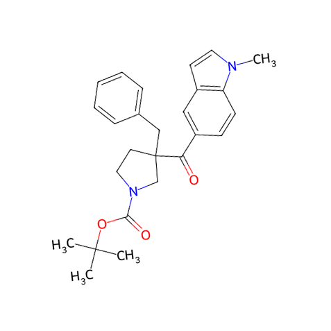 Cn1ccc2cc(C(=O)C3(Cc4ccccc4)CCN(C(=O)OC(C)(C)C)C3)ccc21